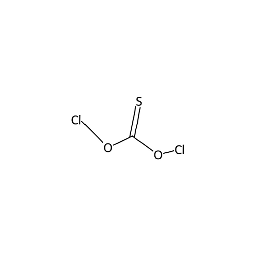 S=C(OCl)OCl